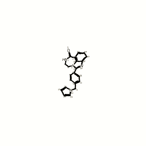 O=C1NCCn2c(-c3ccc(Cn4cccc4)cc3)nc3cccc1c32